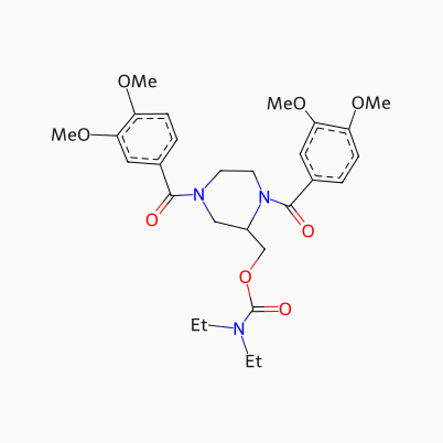 CCN(CC)C(=O)OCC1CN(C(=O)c2ccc(OC)c(OC)c2)CCN1C(=O)c1ccc(OC)c(OC)c1